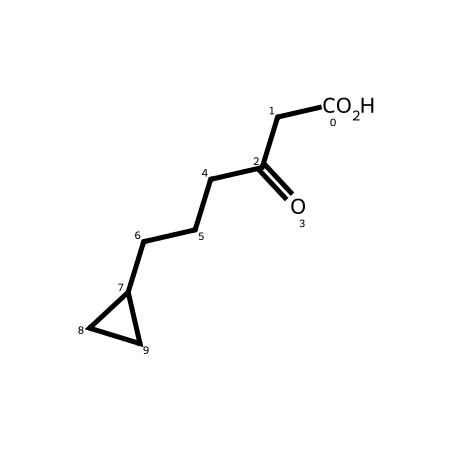 O=C(O)CC(=O)CCCC1CC1